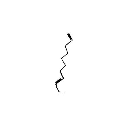 C=CCCCCCC=CO